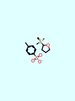 C=[S+](C)(C)C1CCCO1.Cc1ccc(S(=O)(=O)[O-])cc1